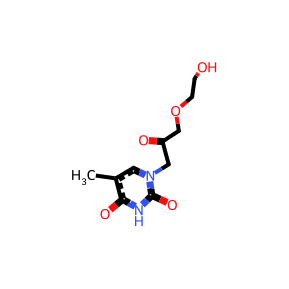 Cc1cn(CC(=O)COCCO)c(=O)[nH]c1=O